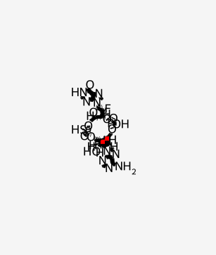 Nc1ncnc2c1ncn2[C@H]1[C@H](O)[C@@H]2O[P@@](=O)(S)OC[C@H]3O[C@@H](n4cnc5c(=O)[nH]cnc54)[C@H](F)[C@@H]3OP(=O)(O)OC[C@@H]3[C@@H]2C[C@@H]31